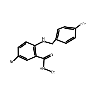 CCCc1ccc(CNc2ccc(Br)cc2C(=O)NCC)cc1